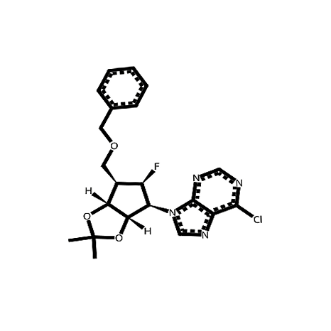 CC1(C)O[C@@H]2[C@@H](COCc3ccccc3)[C@@H](F)[C@@H](n3cnc4c(Cl)ncnc43)[C@@H]2O1